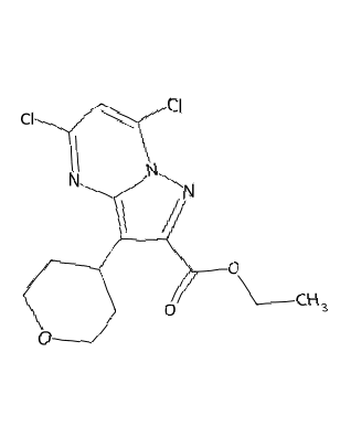 CCOC(=O)c1nn2c(Cl)cc(Cl)nc2c1C1CCOCC1